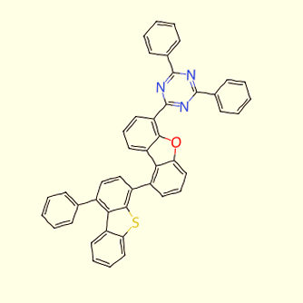 c1ccc(-c2nc(-c3ccccc3)nc(-c3cccc4c3oc3cccc(-c5ccc(-c6ccccc6)c6c5sc5ccccc56)c34)n2)cc1